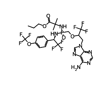 CCCOC(=O)C(C)(C)NP(=O)(COC(Cn1cnc2c(N)ncnc21)C(F)(F)F)N[C@H](c1ccc(OC(F)(F)F)cc1)C(F)(F)F